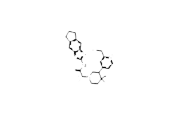 C[C@@H](C(=O)Nc1nc2cc3c(cc2s1)CCC3)N1CCC(F)(F)C(c2cc[n+]([O-])c(CO)c2)C1